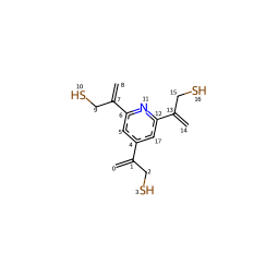 C=C(CS)c1cc(C(=C)CS)nc(C(=C)CS)c1